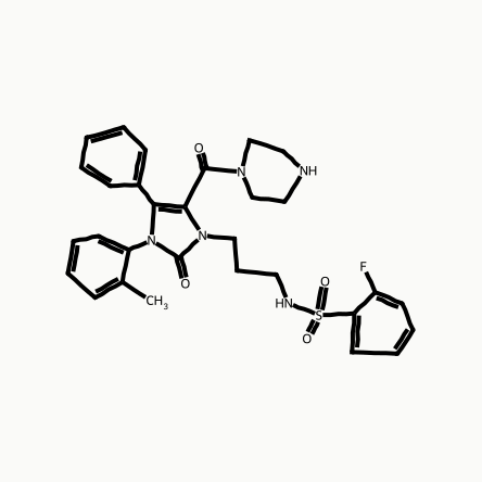 Cc1ccccc1-n1c(-c2ccccc2)c(C(=O)N2CCNCC2)n(CCCNS(=O)(=O)c2ccccc2F)c1=O